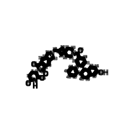 O=C1CCC(N2C(=O)c3cc4c(cc3C2=O)CN(CC2CC3(CCN(C(=O)c5ccc([C@@H]6c7ccc(O)cc7CC[C@@H]6c6ccccc6)cc5)CC3)C2)C4)C(=O)N1